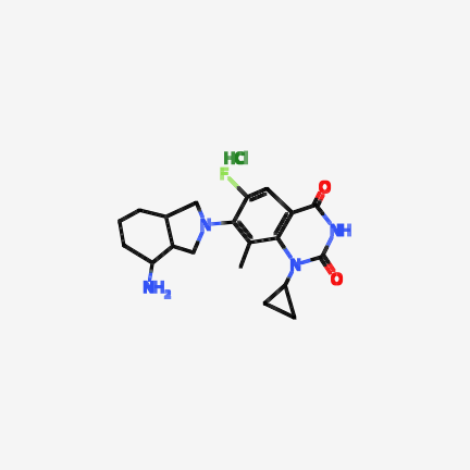 Cc1c(N2CC3CCCC(N)C3C2)c(F)cc2c(=O)[nH]c(=O)n(C3CC3)c12.Cl